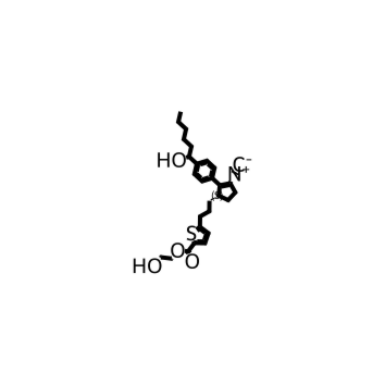 [C-]#[N+]C1=C(c2ccc(C(O)CCCCC)cc2)[C@@H](CCCc2ccc(C(=O)OCCO)s2)CC1